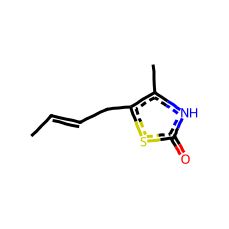 C/C=C/Cc1sc(=O)[nH]c1C